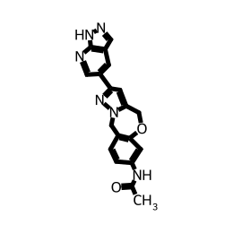 CC(=O)Nc1ccc2c(c1)OCc1cc(-c3cnc4[nH]ncc4c3)nn1C2